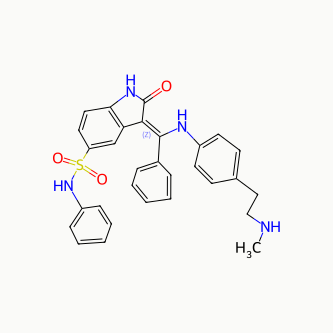 CNCCc1ccc(N/C(=C2\C(=O)Nc3ccc(S(=O)(=O)Nc4ccccc4)cc32)c2ccccc2)cc1